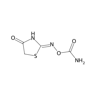 NC(=O)ON=C1NC(=O)CS1